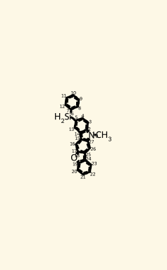 Cn1c2ccc([SiH2]c3ccccc3)cc2c2cc3oc4ccccc4c3cc21